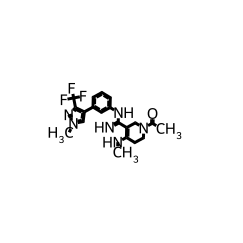 CNC1=C(C(=N)Nc2cccc(-c3cn(C)nc3C(F)(F)F)c2)CN(C(C)=O)CC1